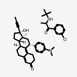 CC#C[C@]1(O)CC[C@H]2[C@@H]3CCC4=CC(=O)CCC4=C3[C@@H](c3ccc(N(C)C)cc3)C[C@@]21C.CC(NC(C)(C)C)C(=O)c1cccc(Cl)c1